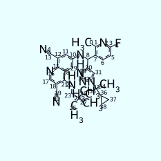 Cc1nc(F)ccc1C(Nc1cc(C#N)c2ncc(C#N)c(NCC(C)(C)C)c2c1)c1cn(C(C)(C)C2CC2)nn1